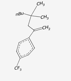 C=C(CC(C)(C)CCCC)c1ccc(C(F)(F)F)cc1